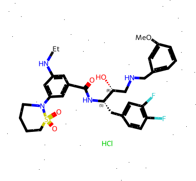 CCNc1cc(C(=O)N[C@@H](Cc2ccc(F)c(F)c2)[C@H](O)CNCc2cccc(OC)c2)cc(N2CCCCS2(=O)=O)c1.Cl